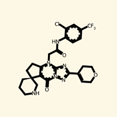 O=C(Cn1c2c(c(=O)n3nc(C4=CCOCC4)nc13)[C@@]1(CCCNC1)CC2)Nc1ccc(C(F)(F)F)cc1Cl